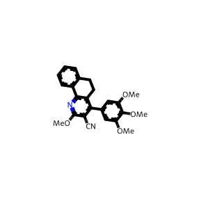 COc1cc(-c2c(C#N)c(OC)nc3c2CCc2ccccc2-3)cc(OC)c1OC